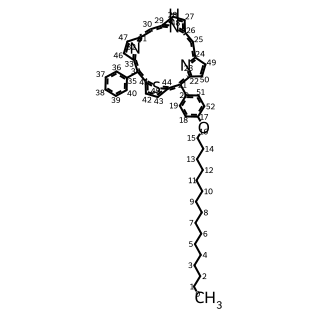 CCCCCCCCCCCCCCCCOc1ccc(-c2c3nc(cc4ccc(cc5nc(c(-c6ccccc6)c6ccc2s6)C=C5)[nH]4)C=C3)cc1